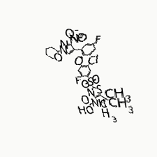 CC(C)(C)c1sc(S(=O)(=O)c2cc(Cl)c(Oc3ccc(F)cc3-c3cn(C4CCCCO4)nc3[N+](=O)[O-])cc2F)nc1NC(=O)O